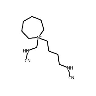 N#CNCCCC[N+]1(CNC#N)CCCCCC1